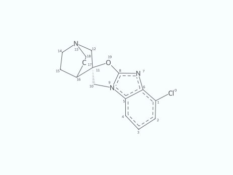 Clc1cccc2c1nc1n2C[C@]2(CN3CCC2CC3)O1